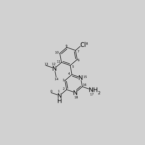 CNc1cc(-c2cc(Cl)ccc2N(C)C)nc(N)n1